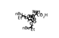 CCCC(N)C(=O)O.CCCCC(CC)COC(=O)CC(C(=O)OCC(CC)CCCC)S(=O)(=O)[O-].[Na+]